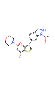 CC(=O)N1NCc2ccc(-c3csc4c(=O)cc(N5CCOCC5)oc34)cc21